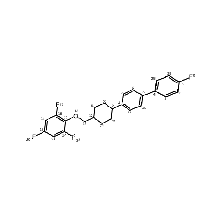 Fc1ccc(-c2ccc(C3CCC(COc4c(F)cc(F)cc4F)CC3)cc2)cc1